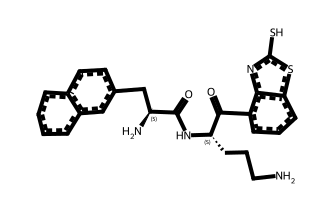 NCCC[C@H](NC(=O)[C@@H](N)Cc1ccc2ccccc2c1)C(=O)c1cccc2sc(S)nc12